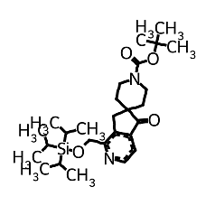 CC(C)[Si](OCc1nccc2c1CC1(CCN(C(=O)OC(C)(C)C)CC1)C2=O)(C(C)C)C(C)C